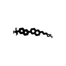 CCCCC1CCC2CC(c3ccc4cc(C(F)(F)F)ccc4c3)CCC2C1